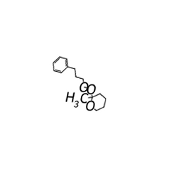 CC1(OOCCCc2ccccc2)CCCCO1